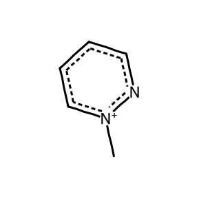 C[n+]1ccccn1